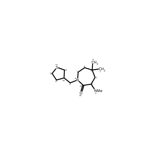 CNC1CC(C)(C)CCN(CC2CCSC2)C1=O